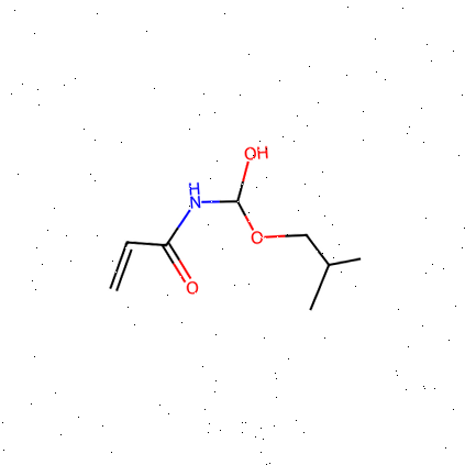 C=CC(=O)NC(O)OCC(C)C